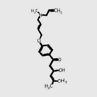 C=CCN(C)C/C=C/COc1ccc(C(=O)CC(O)C=C(C)C)cc1